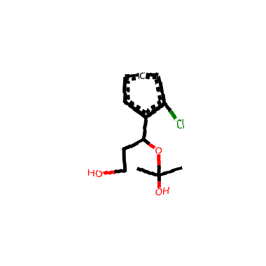 CC(C)(O)OC(CCO)c1ccccc1Cl